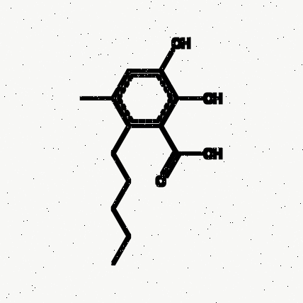 CCCCCc1c(C)cc(O)c(O)c1C(=O)O